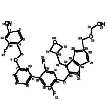 N#Cc1ccc(COc2cccc(-c3cc(F)c(Cc4nc5ccc(COCO)cc5n4CC4COC4)cc3F)n2)c(F)c1